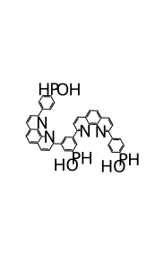 OPc1ccc(-c2ccc3ccc4ccc(-c5cc(PO)cc(-c6ccc7ccc8ccc(-c9ccc(PO)cc9)nc8c7n6)c5)nc4c3n2)cc1